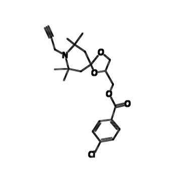 C#CCN1C(C)(C)CC2(CC1(C)C)OCC(COC(=O)c1ccc(Cl)cc1)O2